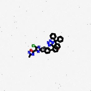 CCCCC1(Cc2ccc(-c3ccccc3-c3nnnn3C(c3ccccc3)(c3ccccc3)c3ccccc3)cc2)N=C(Cl)C(c2nc(C)no2)=N1